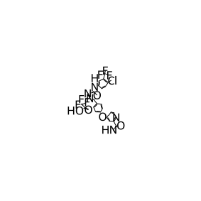 CNC(=O)c1cc(Oc2ccc(-c3nnc(Nc4ccc(Cl)c(C(F)(F)F)c4)o3)cc2)ccn1.O=C(O)C(F)(F)F